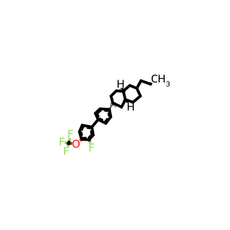 CCCC1CC[C@@H]2C[C@H](c3ccc(-c4ccc(OC(F)(F)F)c(F)c4)cc3)CC[C@@H]2C1